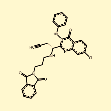 C#CC[C@@H](NCCCN1C(=O)c2ccccc2C1=O)c1nc2cc(Cl)ccc2c(=O)n1Nc1ccccc1